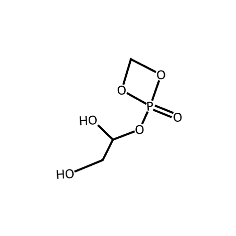 O=P1(OC(O)CO)OCO1